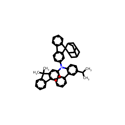 CC(C)c1ccc(N(c2ccc3c(c2)C(C)(C)c2ccccc2-3)c2ccc3c(c2)C2(c4ccccc4-3)C3CC4CC(C3)CC2C4)c(-c2ccccc2)c1